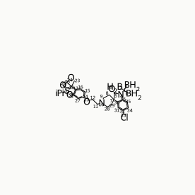 BC(B)(B)N1C(=O)C2(CCN(CCOc3ccc(C4(S(=O)(=O)C(C)C)COC4)cc3)CC2)c2cc(Cl)ccc21